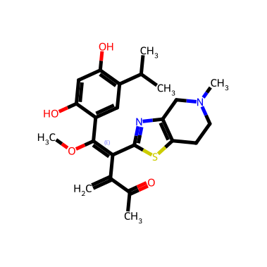 C=C(C(C)=O)/C(=C(\OC)c1cc(C(C)C)c(O)cc1O)c1nc2c(s1)CCN(C)C2